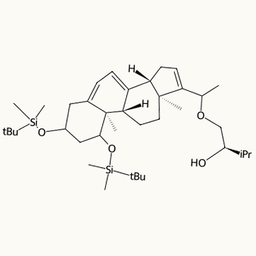 CC(OC[C@H](O)C(C)C)C1=CC[C@H]2C3=CC=C4CC(O[Si](C)(C)C(C)(C)C)CC(O[Si](C)(C)C(C)(C)C)[C@]4(C)[C@H]3CC[C@]12C